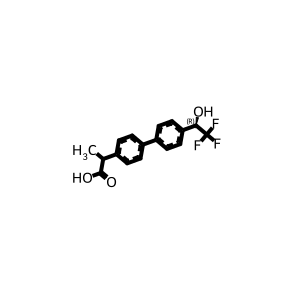 CC(C(=O)O)c1ccc(-c2ccc([C@@H](O)C(F)(F)F)cc2)cc1